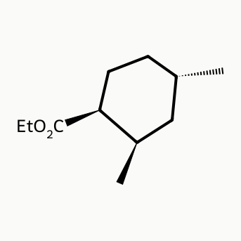 CCOC(=O)[C@H]1CC[C@H](C)C[C@H]1C